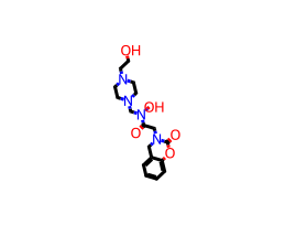 O=C(CN1Cc2ccccc2OC1=O)N(O)CN1CCN(CCO)CC1